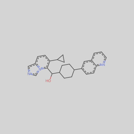 OC(c1c(C2CC2)ccc2cncn12)C1CCC(c2ccc3ncccc3c2)CC1